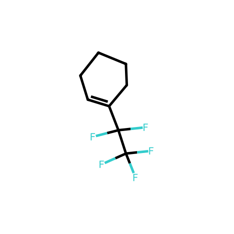 FC(F)(F)C(F)(F)C1=CCCCC1